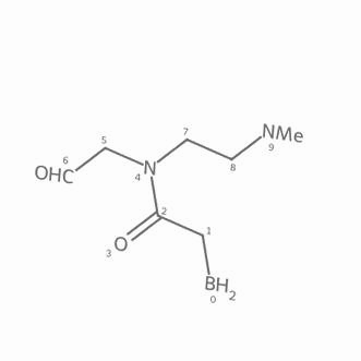 BCC(=O)N(CC=O)CCNC